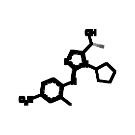 Cc1cc([N+](=O)[O-])ccc1N=c1scc([C@@H](C)O)n1C1CCCC1